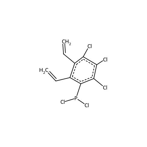 C=Cc1c(Cl)c(Cl)c(Cl)c(P(Cl)Cl)c1C=C